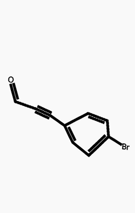 O=CC#Cc1ccc(Br)cc1